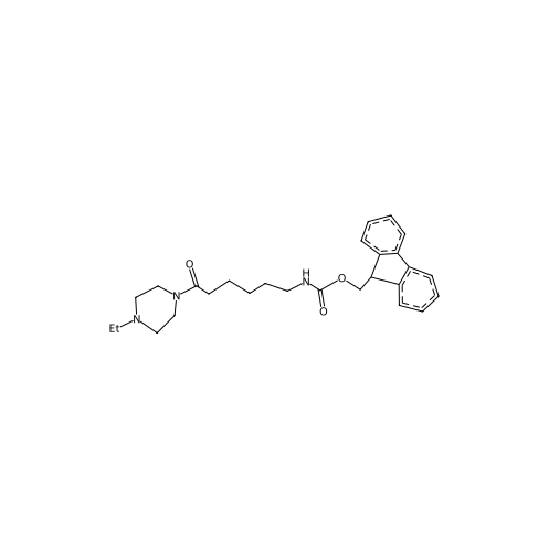 CCN1CCN(C(=O)CCCCCNC(=O)OCC2c3ccccc3-c3ccccc32)CC1